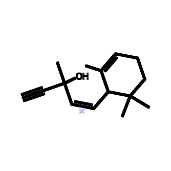 C#CC(C)(O)/C=C\C1C(C)=CCCC1(C)C